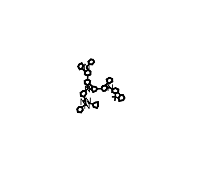 CC1(C)c2ccccc2-c2ccc(-n3c4ccccc4c4cc(-c5ccc6c(c5)c5cc(-c7ccc8c(c7)c7ccccc7n8-c7ccccc7)ccc5n6-c5cccc(-c6nc(-c7ccccc7)nc(-c7ccccc7)n6)c5)ccc43)cc21